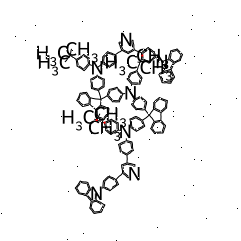 CC(C)(C)c1ccc(N(c2ccc(-c3cncc(-c4ccc(-n5c6ccccc6c6ccccc65)cc4)c3)cc2)c2ccc(C3(c4ccc(N(c5ccc(C(C)(C)C)cc5)c5ccc(C6(c7ccc(N(c8ccc(-c9cncc(-c%10ccc(-n%11c%12ccccc%12c%12ccccc%12%11)cc%10)c9)cc8)c8ccc(C(C)(C)C)cc8)cc7)c7ccccc7-c7ccccc76)cc5)cc4)c4ccccc4-c4ccccc43)cc2)cc1